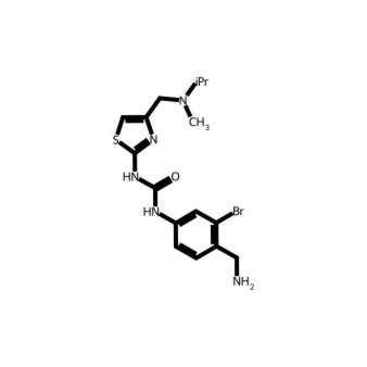 CC(C)N(C)Cc1csc(NC(=O)Nc2ccc(CN)c(Br)c2)n1